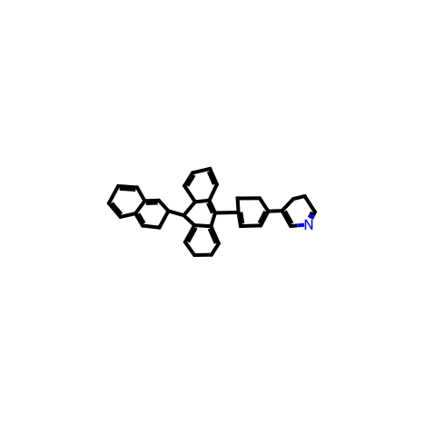 C1=CC2=C(C3=CC=C(C4=CN=CCC4)CC3)C3=CCCC=C3C(C3C=c4ccccc4=CC3)C2C=C1